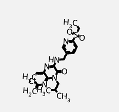 C=C(Cl)/N=C1\C(=C/C)N=C(NCc2ccc(S(=O)(=O)CC)nc2)C(=O)N1CC(C)C